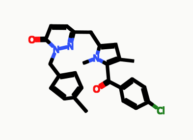 Cc1ccc(Cn2nc(Cc3cc(C)c(C(=O)c4ccc(Cl)cc4)n3C)ccc2=O)cc1